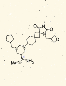 CN/C(N)=C1\CN(CC2CCCC2)CN(C2CCC3(CC2)CC2(C3)C(=O)N(C)C(=O)N2CC2COC2)C1